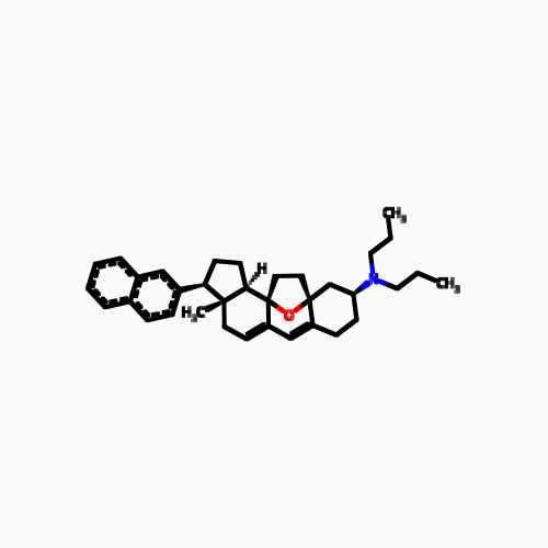 CCCN(CCC)[C@H]1CCC2=CC3=CC[C@]4(C)[C@@H](c5ccc6ccccc6c5)CC[C@H]4[C@@]34CC[C@]2(C1)O4